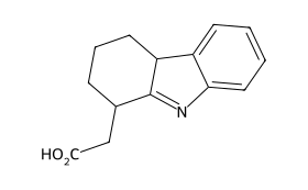 O=C(O)CC1CCCC2C1=Nc1ccccc12